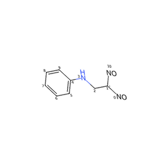 O=N[C](CNc1ccccc1)N=O